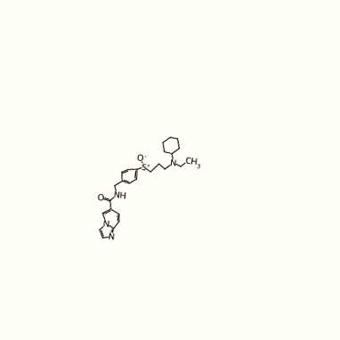 CCN(CCC[S+]([O-])c1ccc(CNC(=O)c2ccc3nccn3c2)cc1)C1CCCCC1